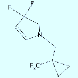 FC1(F)C=CN(CC2(C(F)(F)F)CC2)C1